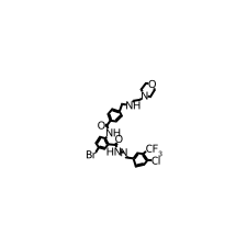 O=C(Nc1ccc(Br)cc1C(=O)N/N=C/c1ccc(Cl)c(C(F)(F)F)c1)c1ccc(CNCCN2CCOCC2)cc1